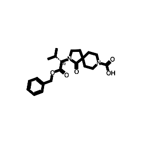 CC(C)[C@@H](C(=O)OCc1ccccc1)N1CCC2(CCN(C(=O)O)CC2)C1=O